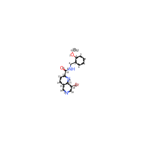 CC[C@H](C)Oc1ccccc1CNC(=O)c1ccc2cncc(Br)c2n1